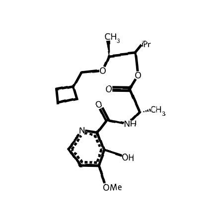 COc1ccnc(C(=O)N[C@@H](C)C(=O)OC(C(C)C)[C@H](C)OCC2CCC2)c1O